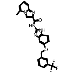 Cc1cccc2nc(C(=O)Nc3nc4cc(OCc5cccc(C(F)(F)F)c5)ccc4[nH]3)cn12